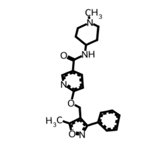 Cc1onc(-c2ccccc2)c1COc1ccc(C(=O)NC2CCN(C)CC2)cn1